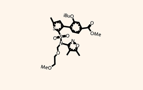 COCCOCN(c1noc(C)c1C)S(=O)(=O)c1sc(C)cc1-c1ccc(C(=O)OC)cc1OCC(C)C